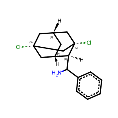 NC(c1ccccc1)[C@H]1[C@H]2C[C@@H]3C[C@](Cl)(C2)C[C@@]1(Cl)C3